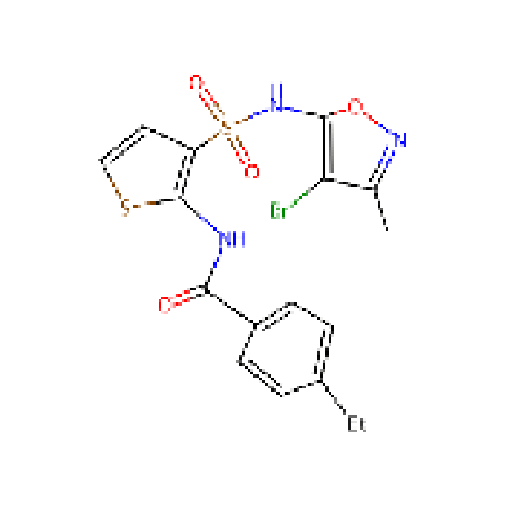 CCc1ccc(C(=O)Nc2sccc2S(=O)(=O)Nc2onc(C)c2Br)cc1